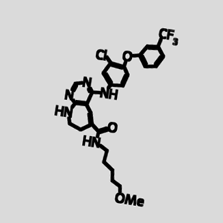 COCCCCCNC(=O)C1=Cc2c(ncnc2Nc2ccc(Oc3cccc(C(F)(F)F)c3)c(Cl)c2)NCC1